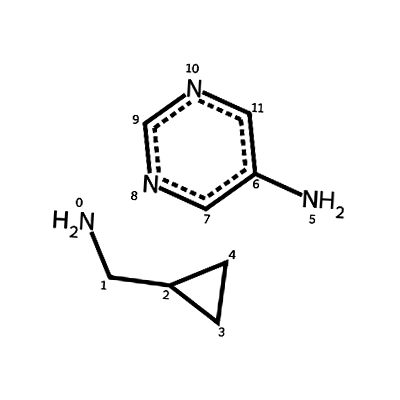 NCC1CC1.Nc1cncnc1